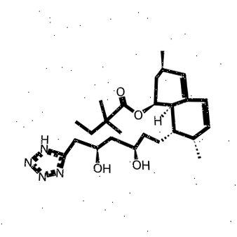 CCC(C)(C)C(=O)O[C@H]1C[C@@H](C)C=C2C=C[C@H](C)[C@H](CC[C@@H](O)C[C@@H](O)Cc3nnn[nH]3)[C@H]21